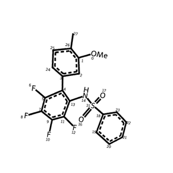 COc1cc(-c2c(F)c(F)c(F)c(F)c2NS(=O)(=O)c2ccccc2)ccc1C